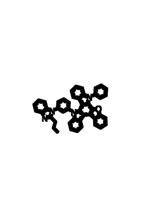 CCCc1nc2ccccc2n1-c1cccc(-n2c3ccccc3c3c4c5ccccc5oc4c4c(c5ccccc5n4-c4ccccc4)c32)c1